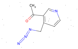 CC(=O)c1cnccc1CN=[N+]=[N-]